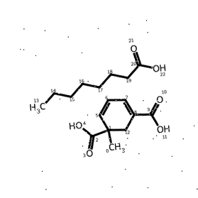 CC1(C(=O)O)C=CC=C(C(=O)O)C1.CCCCCCCC(=O)O